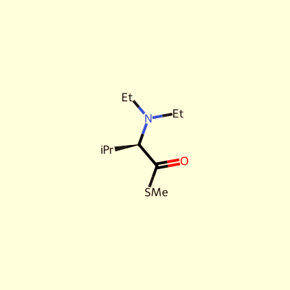 CCN(CC)[C@@H](C(=O)SC)C(C)C